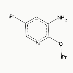 CC(C)Oc1ncc(C(C)C)cc1N